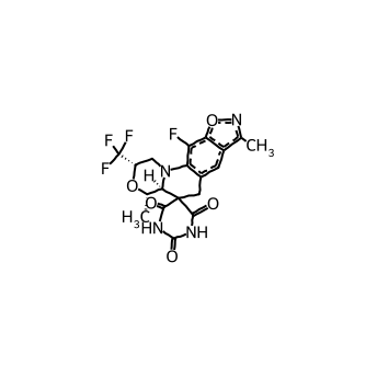 Cc1noc2c(F)c3c(cc12)CC1(C(=O)NC(=O)NC1=O)[C@H]1[C@H](C)O[C@H](C(F)(F)F)CN31